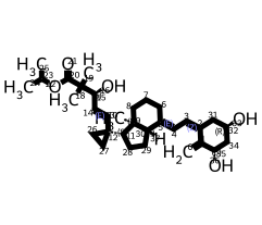 C=C1/C(=C\C=C2/CCC[C@]3(C)[C@@H](C4(/C=C/[C@H](O)C(C)(C)C(=O)OC(C)C)CC4)CC[C@@H]23)C[C@@H](O)C[C@@H]1O